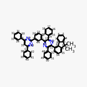 CC1(C)c2ccccc2-c2c(-c3nc(-c4ccccc4)c(-c4cccc(-c5nc(-c6ccccc6)cc(-c6ccccc6)n5)c4)nc3-c3ccccc3)cccc21